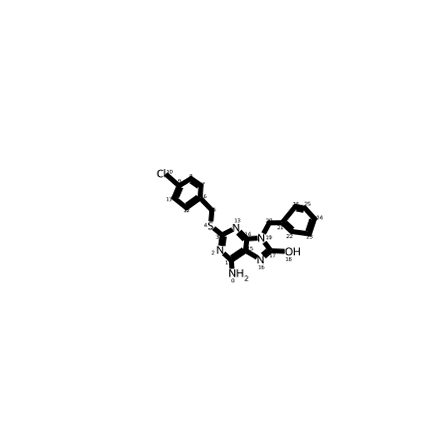 Nc1nc(SCc2ccc(Cl)cc2)nc2c1nc(O)n2Cc1ccccc1